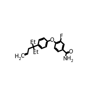 C=CCC(CC)(CC)c1ccc(Oc2ccc(C(N)=O)cc2F)cc1